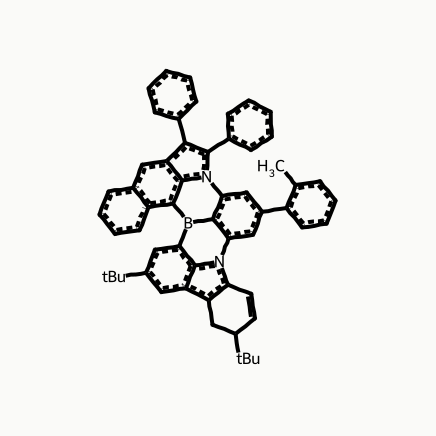 Cc1ccccc1-c1cc2c3c(c1)-n1c(-c4ccccc4)c(-c4ccccc4)c4cc5ccccc5c(c41)B3c1cc(C(C)(C)C)cc3c4c(n-2c13)C=CC(C(C)(C)C)C4